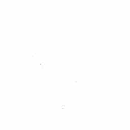 CC1=CC(C)([C]([Ti+3])(C2(C)C=C(C)N=N2)C2(C)C=C(C)N=N2)N=N1.[Cl-].[Cl-].[Cl-]